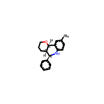 CC(C)(C)c1ccc2c(c1)[C@@H]1OCCC[C@@H]1[C@H](c1ccccc1)N2